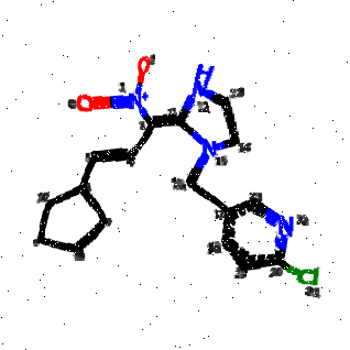 O=[N+]([O-])C(/C=C/C1CCCC1)=C1\NCCN1Cc1ccc(Cl)nc1